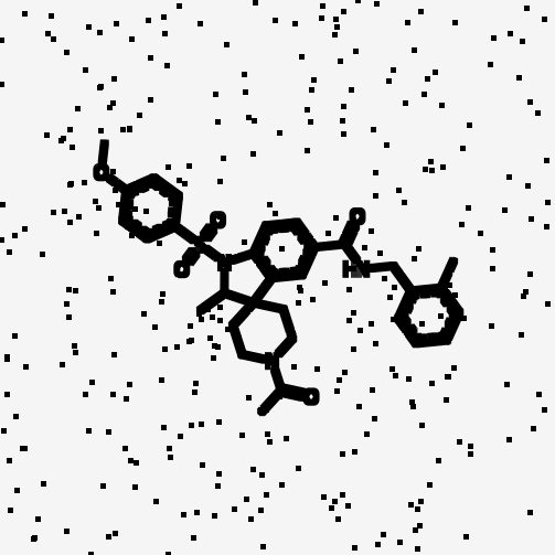 COc1ccc(S(=O)(=O)N2c3ccc(C(=O)NCc4ccccc4C)cc3C3(CCN(C(C)=O)CC3)C2C)cc1